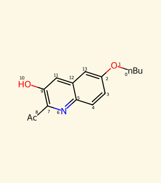 CCCCOc1ccc2nc(C(C)=O)c(O)cc2c1